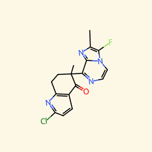 Cc1nc2c(C3(C)CCc4nc(Cl)ccc4C3=O)nccn2c1F